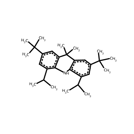 CC(C)c1cc(C(C)(C)C)cc2c1Nc1c(C(C)C)cc(C(C)(C)C)cc1C2(C)C